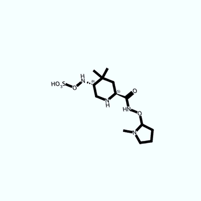 CN1CCCC1ONC(=O)[C@@H]1CC(C)(C)[C@@H](NOS(=O)(=O)O)CN1